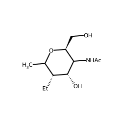 CC[C@@H]1C(C)O[C@@H](CO)C(NC(C)=O)[C@@H]1O